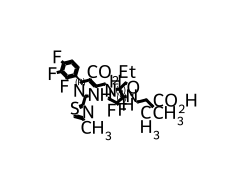 CCOC(=O)C1=C(CN2CC(F)(F)[C@@H]3[C@H]2CON3CCC(C)(C)C(=O)O)NC(c2nc(C)cs2)=N[C@H]1c1ccc(F)c(F)c1F